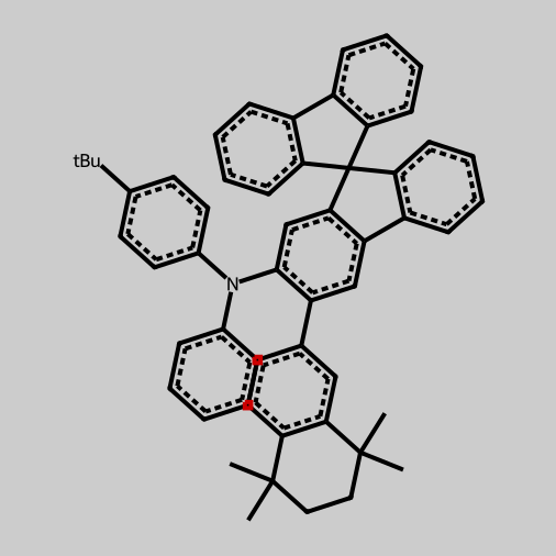 CC(C)(C)c1ccc(N(c2ccccc2)c2cc3c(cc2-c2ccc4c(c2)C(C)(C)CCC4(C)C)-c2ccccc2C32c3ccccc3-c3ccccc32)cc1